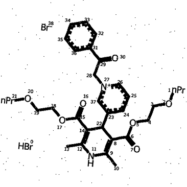 Br.CCCOCCOC(=O)C1=C(C)NC(C)=C(C(=O)OCCOCCC)C1c1ccc[n+](CC(=O)c2ccccc2)c1.[Br-]